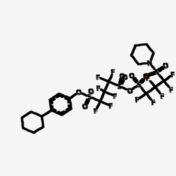 O=S(=O)(Oc1ccc(C2CCCCC2)cc1)C(F)(F)C(F)(F)C(F)(F)S(=O)(=O)OS(=O)(=O)C(F)(F)C(F)(F)C(F)(F)S(=O)(=O)N1CCCCC1